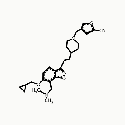 CN(C)Cc1c(OCC2CC2)ccc2c(CCC3CCN(Cc4csc(C#N)c4)CC3)noc12